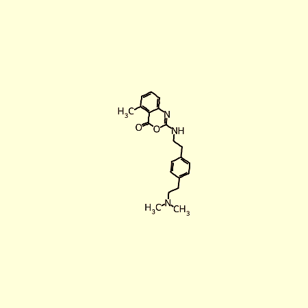 Cc1cccc2nc(NCCc3ccc(CCN(C)C)cc3)oc(=O)c12